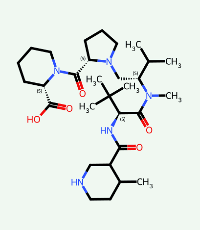 CC1CCNCC1C(=O)N[C@H](C(=O)N(C)[C@H](CN1CCC[C@H]1C(=O)N1CCCC[C@H]1C(=O)O)C(C)C)C(C)(C)C